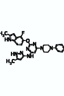 Cc1cc(Nc2cc(N3CCN(c4ccccc4)CC3)nc(Oc3ccc4[nH]c(C)cc4c3F)n2)n[nH]1